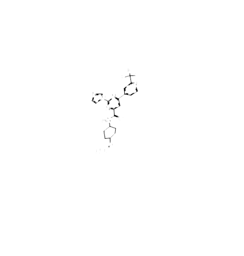 COC1CCC(NC(=O)c2cc(-c3ccnc(C(F)(F)F)c3)nc(-n3ccnc3)n2)CC1